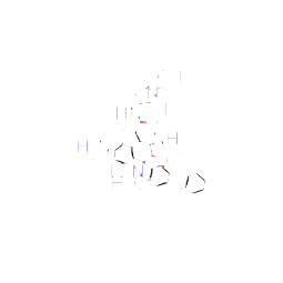 Cc1cc(Oc2ccccc2)ccc1C1(N)C(=O)C(N)c2c(C(=O)NC3CCN(C(C)C)C3)sc3c(N)ccc1c23